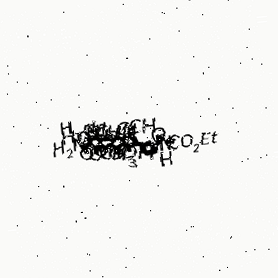 CCOC(=O)CNC(=O)c1cccc(-c2cc(N(C)C)c3c(c2O)C(=O)C2=C(C)[C@]4(O)C(=O)C(C(N)=O)=C(O)[C@H](N(C)C)[C@@H]4C[C@@H]2C3)c1